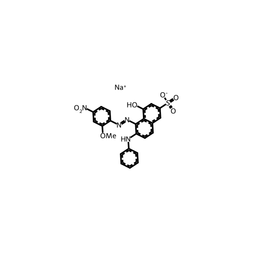 COc1cc([N+](=O)[O-])ccc1N=Nc1c(Nc2ccccc2)ccc2cc(S(=O)(=O)[O-])cc(O)c12.[Na+]